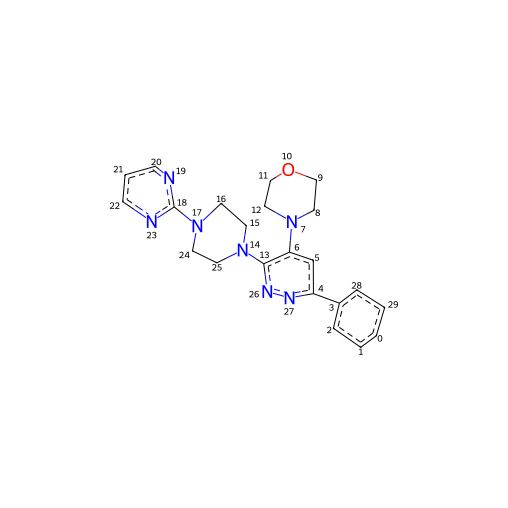 c1ccc(-c2cc(N3CCOCC3)c(N3CCN(c4ncccn4)CC3)nn2)cc1